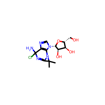 CC1(C)C2=NC(N)(Cl)c3ncn([C@@H]4O[C@H](CO)[C@@H](O)[C@H]4O)c3N21